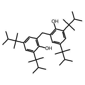 CC(C)C(C)(C)c1cc(Cc2cc(C(C)(C)C(C)C)cc(C(C)(C)C(C)C)c2O)c(O)c(C(C)(C)C(C)C)c1